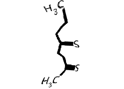 CCCC(=S)CC(C)=S